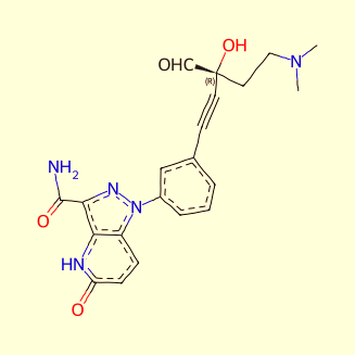 CN(C)CC[C@@](O)(C#Cc1cccc(-n2nc(C(N)=O)c3[nH]c(=O)ccc32)c1)C=O